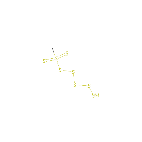 CS(=S)(=S)SSSSS